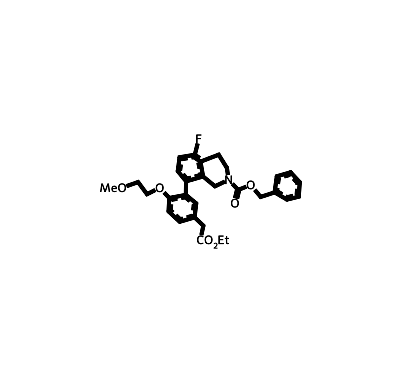 CCOC(=O)Cc1ccc(OCCOC)c(-c2ccc(F)c3c2CN(C(=O)OCc2ccccc2)CC3)c1